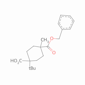 CC1(C(=O)OCc2ccccc2)CCC(C(=O)O)(C(C)(C)C)CC1